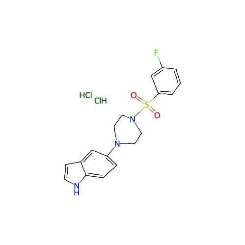 Cl.Cl.O=S(=O)(c1cccc(F)c1)N1CCN(c2ccc3[nH]ccc3c2)CC1